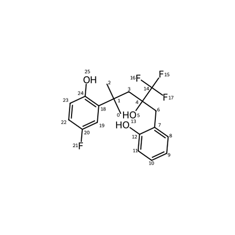 CC(C)(CC(O)(Cc1ccccc1O)C(F)(F)F)c1cc(F)ccc1O